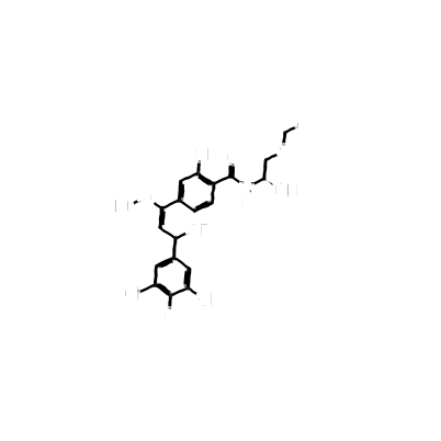 CCO/C(=C/C(c1cc(Cl)c(Cl)c(Cl)c1)C(F)(F)F)c1ccc(C(=O)N[C@H](C)CSCC(F)(F)F)c(C(F)(F)F)c1